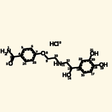 Cl.NC(=O)c1ccc(OCCNCC(O)c2ccc(O)c(O)c2)cc1